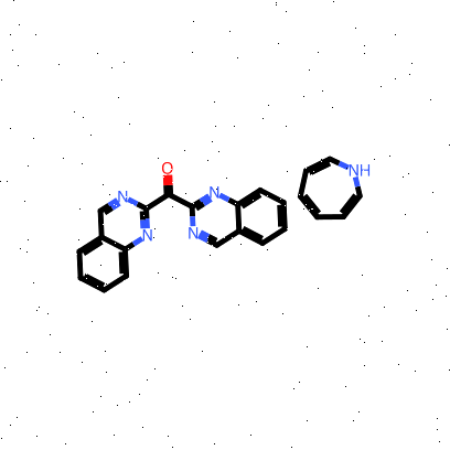 C1=CC=CNC=C1.O=C(c1ncc2ccccc2n1)c1ncc2ccccc2n1